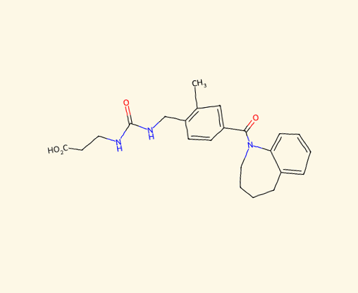 Cc1cc(C(=O)N2CCCCc3ccccc32)ccc1CNC(=O)NCCC(=O)O